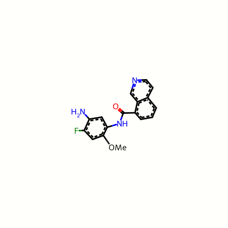 COc1cc(F)c(N)cc1NC(=O)c1cccc2ccncc12